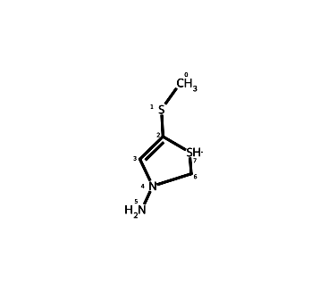 CSC1=CN(N)C[SH]1